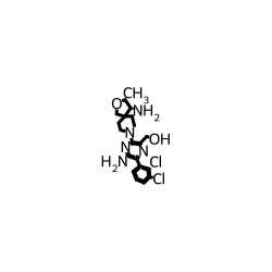 C[C@@H]1OCC2(CCN(c3nc(N)c(-c4cccc(Cl)c4Cl)nc3CO)CC2)[C@@H]1N